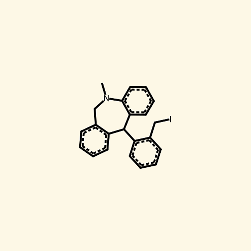 CN1Cc2ccccc2C(c2ccccc2CI)c2ccccc21